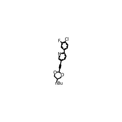 CCCCC1COC(C#Cc2ccc(-c3ccc(Cl)c(F)c3)nc2)OC1